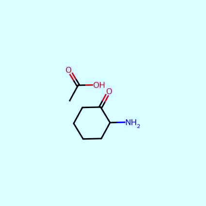 CC(=O)O.NC1CCCCC1=O